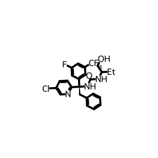 CCC(CO)NC(=O)N[C@@](Cc1ccccc1)(c1cc(F)cc(C(F)(F)F)c1)c1ccc(Cl)cn1